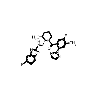 Cc1cc(-n2nccn2)c(C(=O)N2CCC[C@@H](C)[C@H]2CNc2nc3cc(F)ccc3o2)cc1F